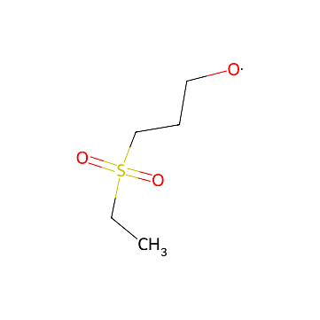 CCS(=O)(=O)CCC[O]